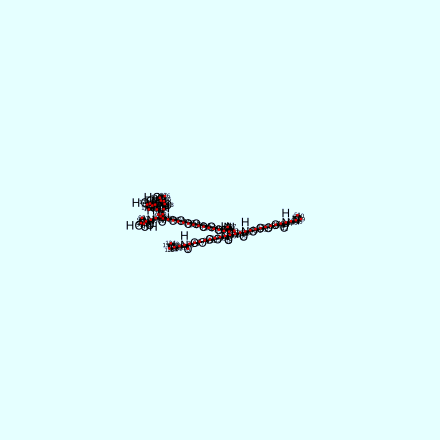 O=C(CCOCCOCCOCCOCCNC(=O)CCN(CCC(=O)NCCOCCOCCOCCOCCC(=O)NCCCN1C=CC=CC1)Cc1cn(CCOCCOCCOCCOCCOCCOCCOCCNC(=O)C(CCCNC(=O)c2cccc(O)c2O)(CCCNC(=O)c2cccc(O)c2O)CCCNC(=O)c2cccc(O)c2O)nn1)NCCCN1C=CC=CC1